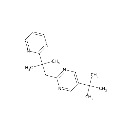 CC(C)(C)c1cnc(CC(C)(C)c2ncccn2)nc1